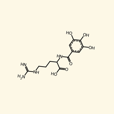 N=C(N)NCCCC(NC(=O)c1cc(O)c(O)c(O)c1)C(=O)O